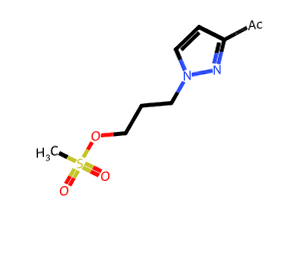 CC(=O)c1ccn(CCCOS(C)(=O)=O)n1